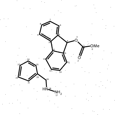 COC(=O)OC1c2ccccc2-c2ccccc21.NNCc1ccccc1